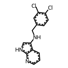 Clc1ccc(CNc2c[nH]c3ncccc23)cc1Cl